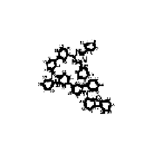 c1ccc(-c2nc(-c3ccccc3)nc(-c3cccc(-c4cccc(-n5c6ccccc6c6cc(-c7ccc8c(c7)c7ccccc7n8-c7cccc8c7oc7ccccc78)ccc65)c4)c3)n2)cc1